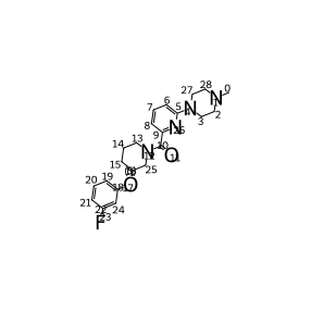 CN1CCN(c2cccc(C(=O)N3CCC[C@H](Oc4cccc(F)c4)C3)n2)CC1